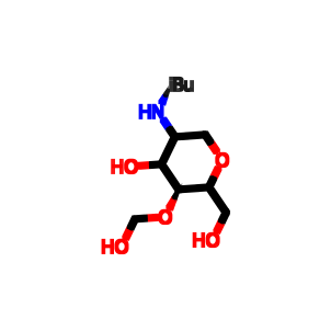 CC[C@H](C)NC1COC(CO)[C@@H](OCO)C1O